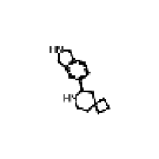 c1cc2c(cc1C1CC3(CCC3)CCN1)CNC2